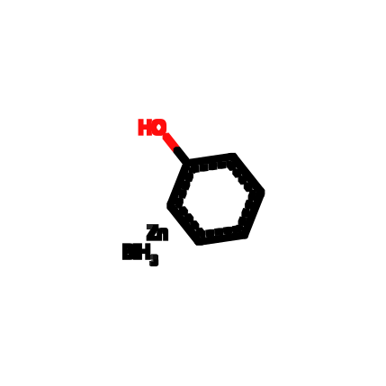 Oc1ccccc1.[BiH3].[Zn]